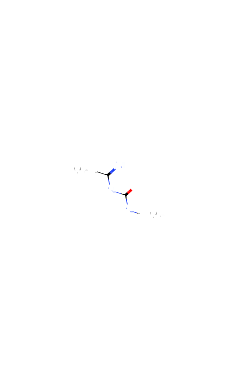 CONC(=O)NC(=N)SC